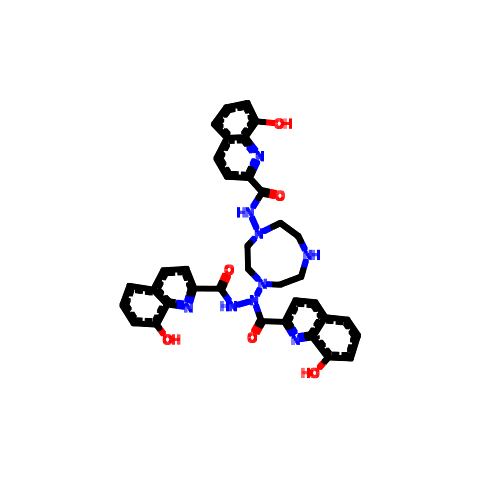 O=C(NN1CCNCCN(N(NC(=O)c2ccc3cccc(O)c3n2)C(=O)c2ccc3cccc(O)c3n2)CC1)c1ccc2cccc(O)c2n1